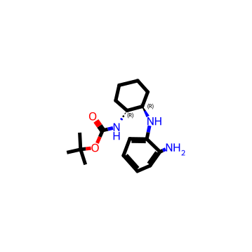 CC(C)(C)OC(=O)N[C@@H]1CCCC[C@H]1Nc1ccccc1N